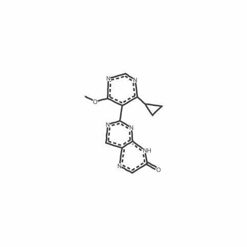 COc1ncnc(C2CC2)c1-c1ncc2ncc(=O)[nH]c2n1